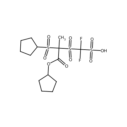 CC(C(=O)OC1CCCC1)(S(=O)(=O)C1CCCC1)S(=O)(=O)C(F)(F)S(=O)(=O)O